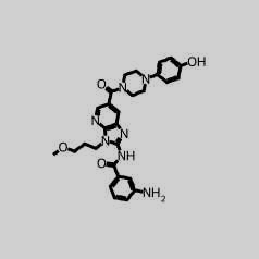 COCCCn1c(NC(=O)c2cccc(N)c2)nc2cc(C(=O)N3CCN(c4ccc(O)cc4)CC3)cnc21